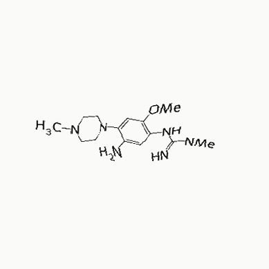 CNC(=N)Nc1cc(N)c(N2CCN(C)CC2)cc1OC